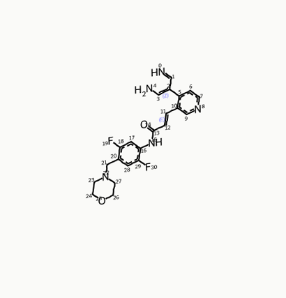 N=C/C(=C\N)c1ccncc1/C=C/C(=O)Nc1cc(F)c(CN2CCOCC2)cc1F